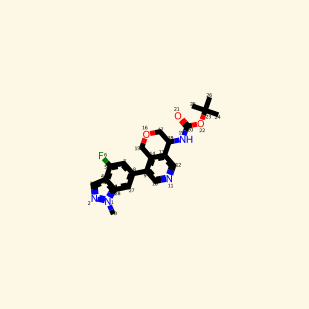 Cn1ncc2c(F)cc(-c3cncc4c3COCC4NC(=O)OC(C)(C)C)cc21